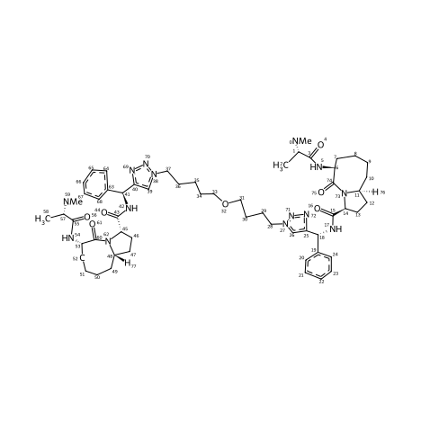 CN[C@@H](C)C(=O)N[C@H]1CCCC[C@H]2CC[C@@H](C(=O)N[C@H](c3ccccc3)c3cn(CCCCOCCCCCn4cc([C@@H](NC(=O)[C@@H]5CC[C@@H]6CCCC[C@H](NC(=O)[C@H](C)NC)C(=O)N65)c5ccccc5)nn4)nn3)N2C1=O